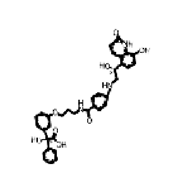 O=C(NCCCOc1cccc([C@](O)(C(=O)O)c2ccccc2)c1)c1ccc(CNC[C@H](O)c2ccc(O)c3[nH]c(=O)ccc23)cc1